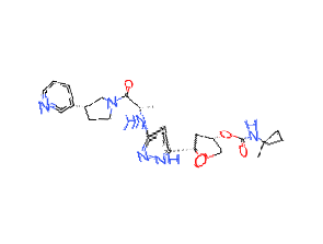 C[C@H](Nc1cc([C@@H]2C[C@H](OC(=O)NC3(C)CC3)CO2)[nH]n1)C(=O)N1CC[C@H](c2cccnc2)C1